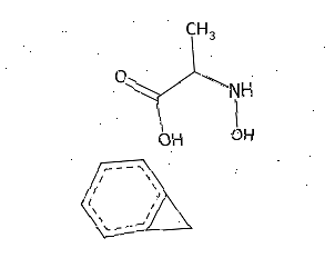 CC(NO)C(=O)O.c1ccc2c(c1)C2